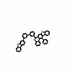 c1ccc(-c2c3c(cc4c(-c5cccc(-c6cccc(-c7ccc8c(c7)sc7ccccc78)c6)c5)nc5ccccc5c24)oc2ccccc23)cc1